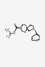 O=C(OC(C(F)(F)F)C(F)(F)F)N1CCC2(CCN(Cc3ccnnc3)C2)CC1